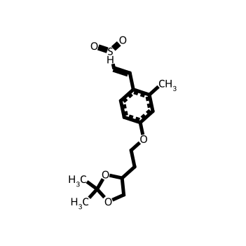 Cc1cc(OCCC2COC(C)(C)O2)ccc1/C=C/[SH](=O)=O